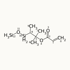 C=CC(=O)OC(C)(C)C(C)[SiH2]O[SiH3]